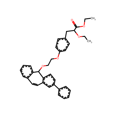 CCOC(=O)C(Cc1ccc(OCCOC2c3ccccc3C=Cc3cc(-c4ccccc4)ccc32)cc1)OCC